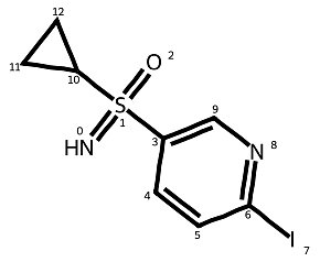 N=S(=O)(c1ccc(I)nc1)C1CC1